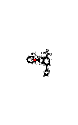 CC(C)(C)OC(=O)N1C2CC1CN(c1nc3c(S(=O)(=O)Cl)ccc(-c4nccs4)c3o1)C2